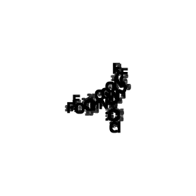 O=C(N[C@@H]1C(=O)N(c2cccn(CC(F)F)c2=O)C[C@H]1c1ccc(Cl)cc1)c1ccc(OC(F)F)cc1